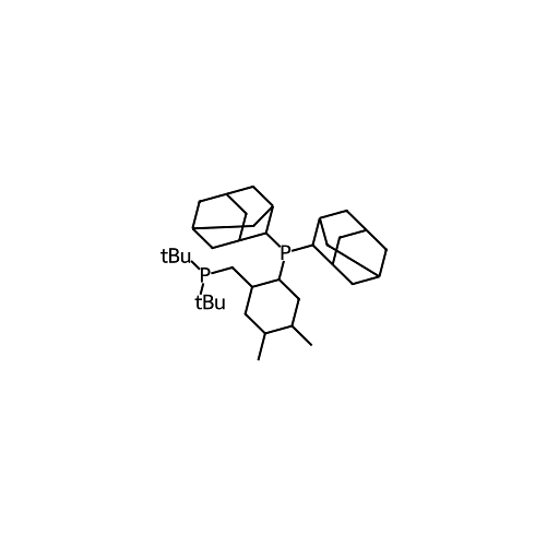 CC1CC(CP(C(C)(C)C)C(C)(C)C)C(P(C2C3CC4CC(C3)CC2C4)C2C3CC4CC(C3)CC2C4)CC1C